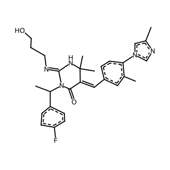 Cc1cn(-c2ccc(/C=C3/C(=O)N(C(C)c4ccc(F)cc4)/C(=N/CCCO)NC3(C)C)cc2C)cn1